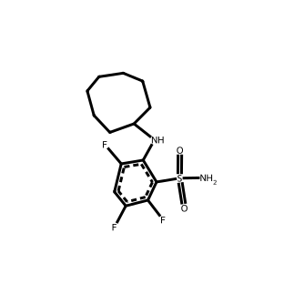 NS(=O)(=O)c1c(F)c(F)cc(F)c1NC1CCCCCCC1